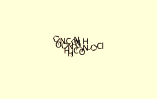 Cc1c(C(=O)NCc2ccc(Cl)cc2)cn2ncc(C#N)c(Nc3ccc(Oc4ccccc4)cc3)c12